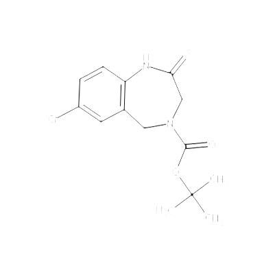 CC(C)(C)OC(=O)N1CC(=S)Nc2ccc(Cl)cc2C1